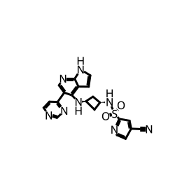 N#Cc1ccnc(S(=O)(=O)N[C@H]2C[C@H](Nc3c(-c4ccncn4)cnc4[nH]ccc34)C2)c1